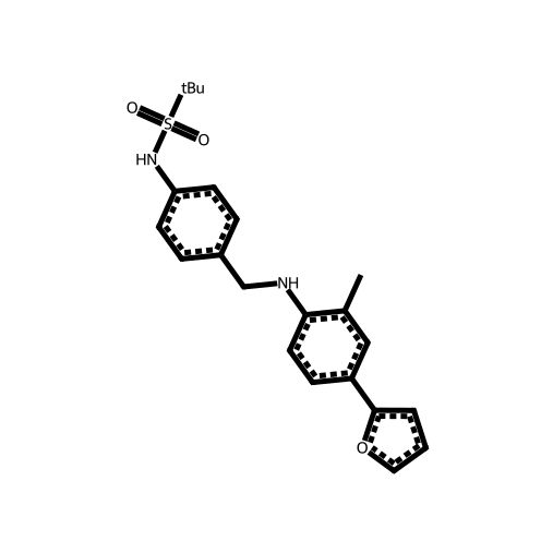 Cc1cc(-c2ccco2)ccc1NCc1ccc(NS(=O)(=O)C(C)(C)C)cc1